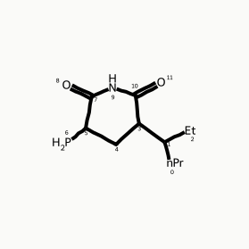 CCCC(CC)C1CC(P)C(=O)NC1=O